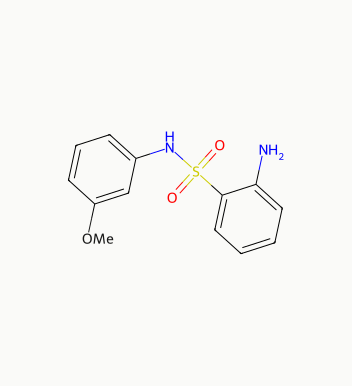 COc1cccc(NS(=O)(=O)c2ccccc2N)c1